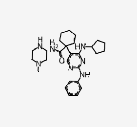 CN1CCNCC1.NC(=O)C1(c2cnc(Nc3ccccc3)nc2NC2CCCC2)CCCCC1